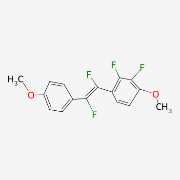 COc1ccc(/C(F)=C(\F)c2ccc(OC)c(F)c2F)cc1